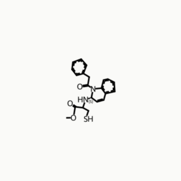 COC(=O)C(CS)N[C@@H]1C=Cc2ccccc2N1C(=O)Cc1ccccc1